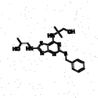 CC(O)CNc1nc2nc(SCc3ccccc3)nc(NC(C)(C)CO)c2s1